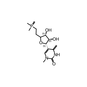 C=C1NC(=O)N(C)C=C1[C@@H]1OC(CCP(=C)(C)C)[C@@H](O)[C@H]1O